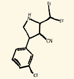 CCC(CC)C1NCC(c2cccc(Cl)c2)C1C#N